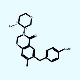 COc1ccc(Cc2cc3c(cc2C)OCN([C@@H]2COCC[C@H]2O)C3=O)cc1